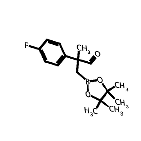 CC(C=O)(CB1OC(C)(C)C(C)(C)O1)c1ccc(F)cc1